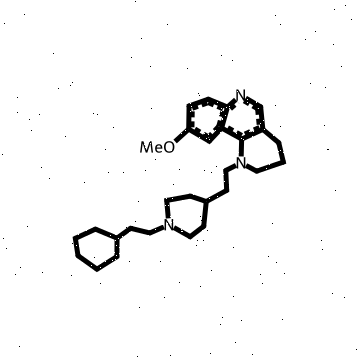 COc1ccc2ncc3c(c2c1)N(CCC1CCN(CCC2CCCCC2)CC1)CCC3